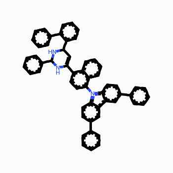 C1=C(c2ccc(-n3c4ccc(-c5ccccc5)cc4c4cc(-c5ccccc5)ccc43)c3ccccc23)NC(c2ccccc2)NC1c1ccccc1-c1ccccc1